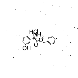 Cl.N[C@H](C(=O)OCc1ccccc1)c1cccc(O)c1